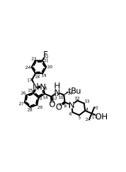 CC(C)(O)C1CCN(C(=O)[C@@H](NC(=O)c2nn(Cc3ccc(F)cc3)c3ccccc23)C(C)(C)C)CC1